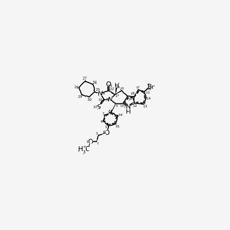 COCCOc1ccc([C@@H]2c3[nH]c4ccc(Br)cc4c3C[C@H]3C(=O)N(C4CCCCC4)C(=S)N23)cc1